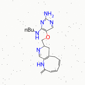 C=C1/C=C\C=C/CC2=C(C=NC(COc3cnc(N)nc3NCCCC)C2)N1